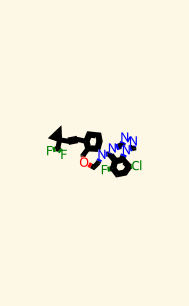 Fc1ccc(Cl)c2c1c(N1CCOCc3c(C#CC4(C(F)F)CC4)cccc31)nc1nncn12